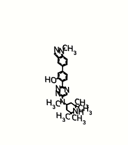 CN(c1cnc(-c2ccc(-c3ccc4c(cnn4C)c3)cc2O)nn1)C1CC(C)(C)NC(C)(C)C1